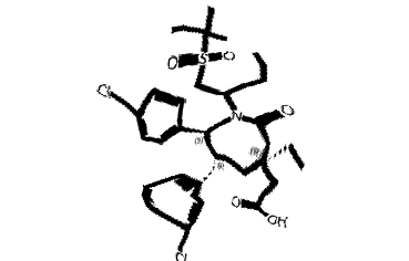 CCC(CS(=O)(=O)C(C)(C)C)N1C(=O)[C@@](CC)(CC(=O)O)C[C@H](c2cccc(Cl)c2)[C@H]1c1ccc(Cl)cc1